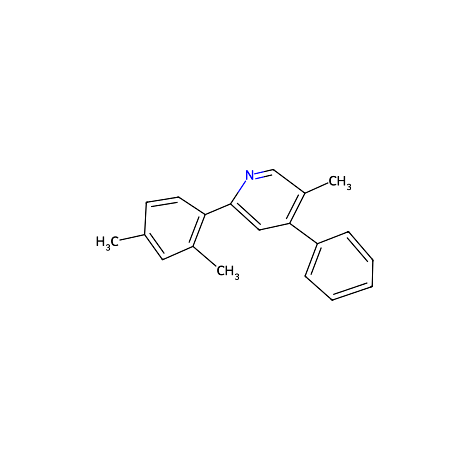 Cc1ccc(-c2cc(-c3ccccc3)c(C)cn2)c(C)c1